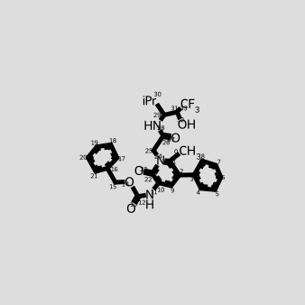 Cc1c(-c2ccccc2)cc(NC(=O)OCc2ccccc2)c(=O)n1CC(=O)NC(C(C)C)C(O)C(F)(F)F